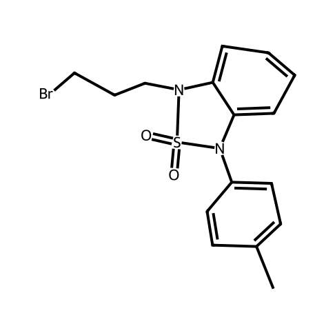 Cc1ccc(N2c3ccccc3N(CCCBr)S2(=O)=O)cc1